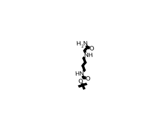 CC(C)(C)OC(=O)NCCCCNCC(N)=O